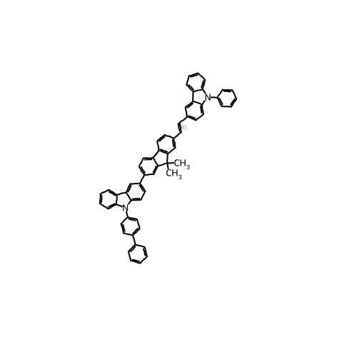 CC1(C)c2cc(/C=C/c3ccc4c(c3)c3ccccc3n4-c3ccccc3)ccc2-c2ccc(-c3ccc4c(c3)c3ccccc3n4-c3ccc(-c4ccccc4)cc3)cc21